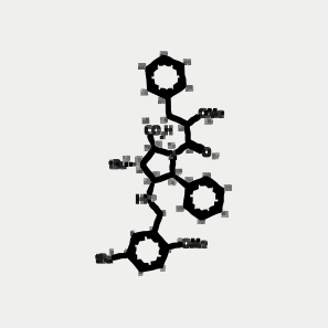 COc1ccc(C(C)(C)C)cc1CN[C@H]1[C@H](C(C)(C)C)[C@@H](C(=O)O)N(C(=O)C(Cc2ccccc2)OC)[C@H]1c1ccccc1